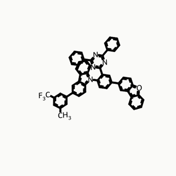 Cc1cc(-c2ccc3c(c2)c2ccccc2n3-c2ccc(-c3ccc4oc5ccccc5c4c3)cc2-c2nc(-c3ccccc3)nc(-c3ccccc3)n2)cc(C(F)(F)F)c1